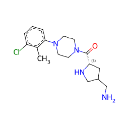 Cc1c(Cl)cccc1N1CCN(C(=O)[C@@H]2CC(CN)CN2)CC1